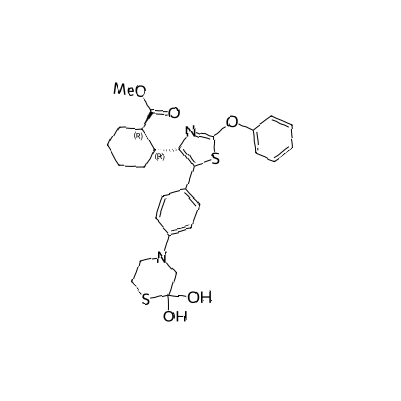 COC(=O)[C@@H]1CCCC[C@H]1c1nc(Oc2ccccc2)sc1-c1ccc(N2CCSC(O)(O)C2)cc1